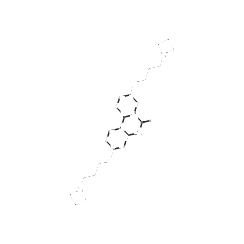 Cn1c(=O)c2cc(OCCCN3CCC3)ccc2c2ccc(OCCCN3CCC3)cc21